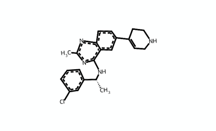 Cc1nc(N[C@H](C)c2cccc(Cl)c2)c2cc(C3=CCNCC3)ccc2n1